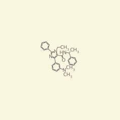 CCn1c(-c2ccccc2)nc(-c2cccc(N(C)C)c2)c1C(=O)N[C@@H](C)c1ccccc1